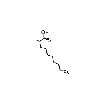 CC(=O)CCCCCCCC(C)C(O)=S